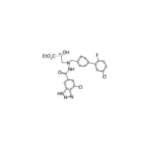 CCOC(=O)[C@H](O)CN(Cc1ccc(-c2cc(Cl)ccc2F)cc1)NC(=O)c1cc(Cl)c2nn[nH]c2c1